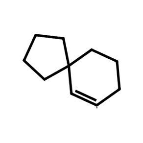 [C]1=CC2(CCC1)CCCC2